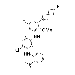 COc1c(Nc2ncc(Cl)c(Nc3ccccc3P(C)C)n2)cc(F)cc1N1CC2(CC(F)C2)C1